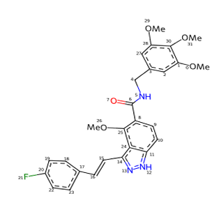 COc1cc(CNC(=O)c2ccc3[nH]nc(/C=C/c4ccc(F)cc4)c3c2OC)cc(OC)c1OC